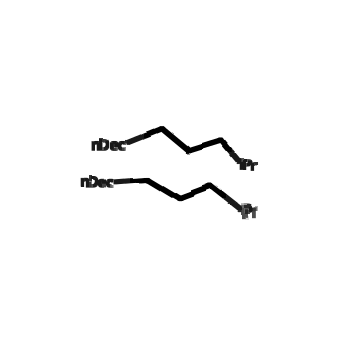 CCCCCCCCCCCCCC(C)C.CCCCCCCCCCCCCC(C)C